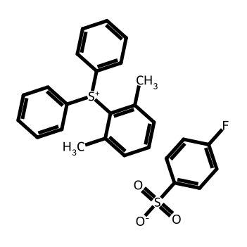 Cc1cccc(C)c1[S+](c1ccccc1)c1ccccc1.O=S(=O)([O-])c1ccc(F)cc1